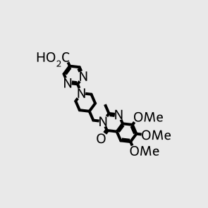 COc1cc2c(=O)n(CC3CCN(c4ncc(C(=O)O)cn4)CC3)c(C)nc2c(OC)c1OC